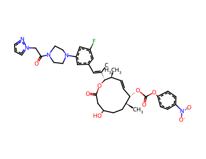 C/C(=C\c1cc(F)cc(N2CCN(C(=O)Cn3cccn3)CC2)c1)[C@H]1OC(=O)C[C@H](O)CC[C@H](C)[C@@H](OC(=O)Oc2ccc([N+](=O)[O-])cc2)/C=C/[C@@H]1C